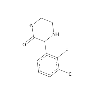 O=C1[N]CCNC1c1cccc(Cl)c1F